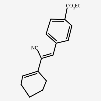 CCOC(=O)c1ccc(/C=C(\C#N)C2=CCCCC2)cc1